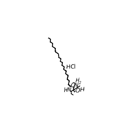 CCCCCCCCCCCCCCCCCCCCCC(=O)NC(CC)C(C)(C)C(C)(N)O.Cl